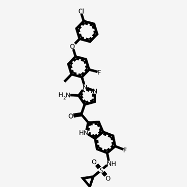 Cc1cc(Oc2cccc(Cl)c2)cc(F)c1-n1ncc(C(=O)c2cc3cc(F)c(NS(=O)(=O)C4CC4)cc3[nH]2)c1N